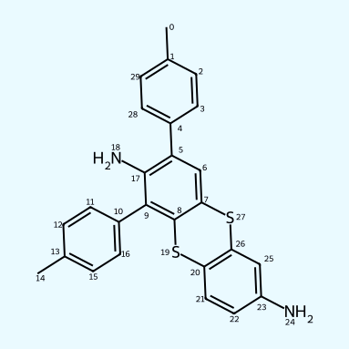 Cc1ccc(-c2cc3c(c(-c4ccc(C)cc4)c2N)Sc2ccc(N)cc2S3)cc1